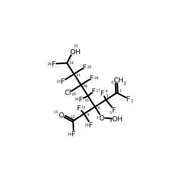 C=C(F)C(F)(F)C(OO)(C(F)(F)C(=O)F)C(F)(F)C(F)(Cl)C(F)(F)C(O)F